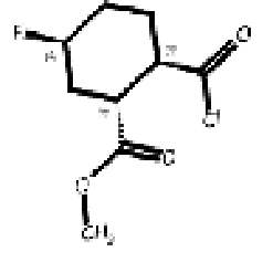 COC(=O)[C@@H]1C[C@@H](F)CC[C@H]1C(=O)Cl